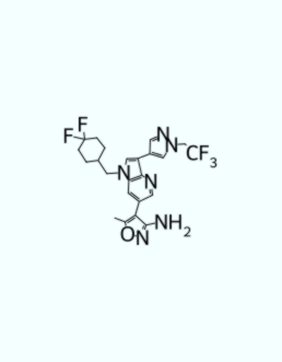 Cc1onc(N)c1-c1cnc2c(-c3cnn(CC(F)(F)F)c3)cn(CC3CCC(F)(F)CC3)c2c1